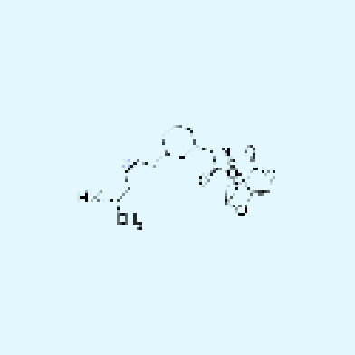 CC(C)C/C=C\CC1CCCC(CC(=O)OC2C3CC4(C#N)C(=O)OC2C4O3)C1